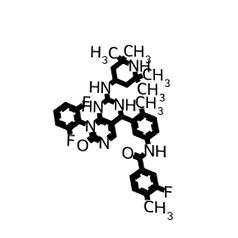 Cc1ccc(C(=O)Nc2ccc(C)c(C3NC(NC4CC(C)(C)NC(C)(C)C4)Nc4c3cnc(=O)n4-c3c(F)cccc3F)c2)cc1F